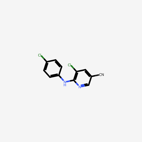 N#Cc1cnc(Nc2ccc(Cl)cc2)c(Cl)c1